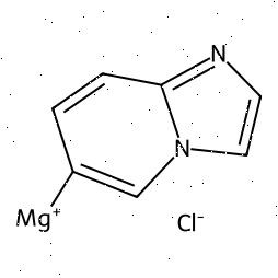 [Cl-].[Mg+][c]1ccc2nccn2c1